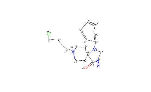 O=C1NCN(c2ccccc2)C12CCN(CCCCl)CC2